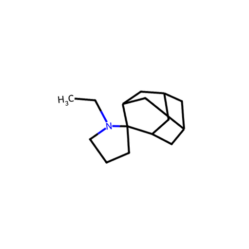 CCN1CCCC12C1CC3CC(C1)CC2C3